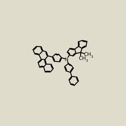 CC1(C)c2ccccc2-c2ccc(N(c3ccc(-c4ccccc4)cc3)c3ccc(-c4cc5ccccc5c5ccc6ccccc6c45)cc3)cc21